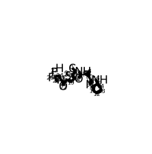 CC(NC(=O)[C@H]1C[C@@H]1c1nc2ccccc2[nH]1)c1ccc(C(=O)N2CC(F)(F)C2)s1